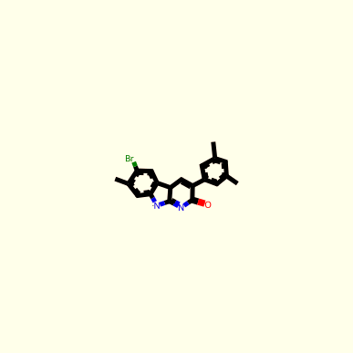 Cc1cc(C)cc(C2=CC3C(=NC2=O)[N]c2cc(C)c(Br)cc23)c1